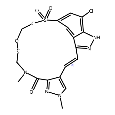 CN1CCOCCS(=O)(=O)c2cc(Cl)c3[nH]nc(c3c2)/C=C/c2cn(C)nc2C1=O